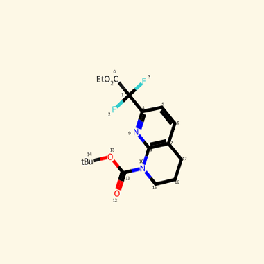 CCOC(=O)C(F)(F)c1ccc2c(n1)N(C(=O)OC(C)(C)C)CCC2